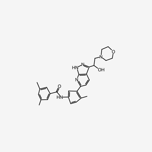 Cc1cc(C)cc(C(=O)Nc2ccc(C)c(-c3ccc4c(C(O)CN5CCOCC5)n[nH]c4n3)c2)c1